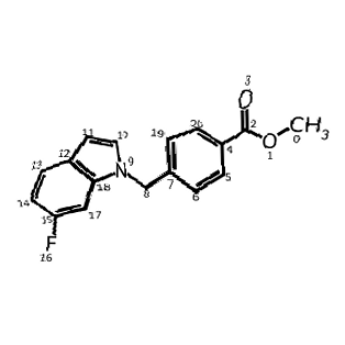 COC(=O)c1ccc(Cn2ccc3ccc(F)cc32)cc1